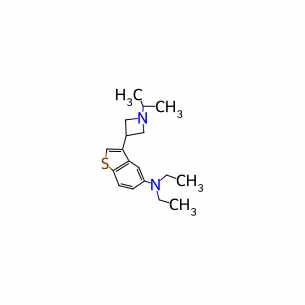 CCN(CC)c1ccc2scc(C3CN(C(C)C)C3)c2c1